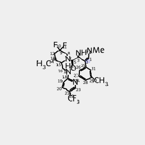 CN/C=C(\C(=N)C(=O)N1CC(F)(F)C[C@@H](C)C1CNc1ccc(C(F)(F)F)cn1)c1cccc(C)c1